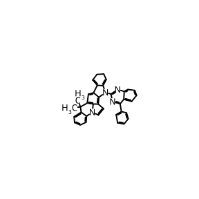 CC1(C)c2ccccc2-n2ccc3c2c1cc1c2c(n(-c4nc(-c5ccccc5)c5ccccc5n4)c13)=CCCC=2